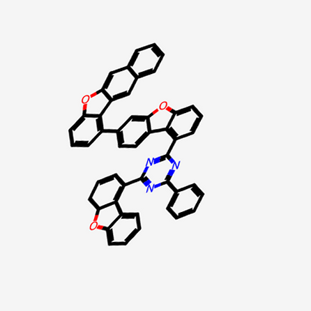 C1=CC(c2nc(-c3ccccc3)nc(-c3cccc4oc5cc(-c6cccc7oc8cc9ccccc9cc8c67)ccc5c34)n2)=C2c3ccccc3OC2C1